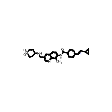 Cc1c(NC(=O)c2ccc(/C=C/C3CC3)cc2)ccc2cc(CNC3CCS(=O)(=O)CC3)cnc12